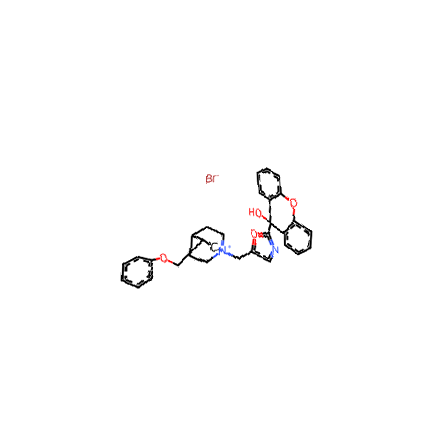 OC1(c2ncc(C[N+]34CCC(CC3)C(COc3ccccc3)C4)o2)c2ccccc2Oc2ccccc21.[Br-]